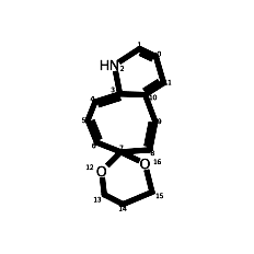 [C]1=CN/C2=C/C=C\C3(/C=C\C2=C1)OCCCO3